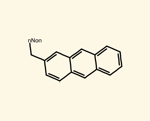 CCCCCCCCCCc1c[c]c2cc3ccccc3cc2c1